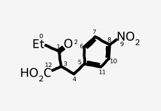 CCC(=O)C(Cc1ccc([N+](=O)[O-])cc1)C(=O)O